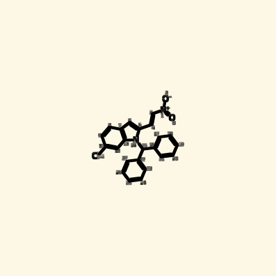 O=[N+]([O-])C=Cc1cc2ccc(Cl)cc2n1C(c1ccccc1)c1ccccc1